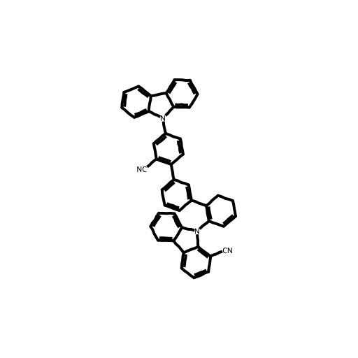 N#Cc1cc(-n2c3ccccc3c3ccccc32)ccc1-c1cccc(C2=C(n3c4ccccc4c4cccc(C#N)c43)C=CCC2)c1